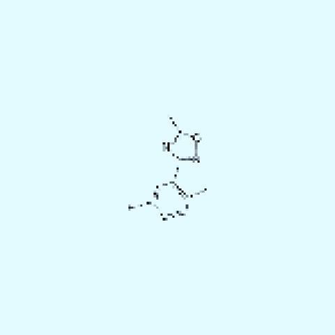 Cc1nc(-c2cc(F)ccc2C)no1